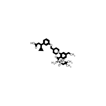 CCc1ccc(C(=O)N(C)S(=O)(=O)CC(C)(C)C)c(N2CCC(COc3cccc(C(CC(=O)O)C4CC4)c3)CC2)c1